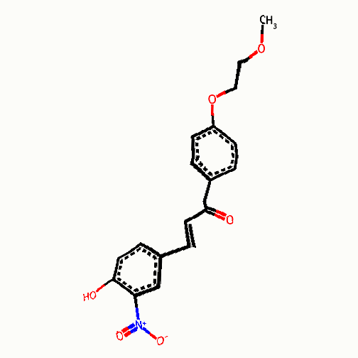 COCCOc1ccc(C(=O)/C=C/c2ccc(O)c([N+](=O)[O-])c2)cc1